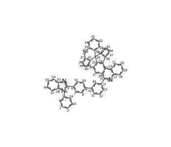 c1ccc(-n2c(-c3ccc(-c4cccc(-c5nc6ccccc6c6c7c(ccc56)C5(c6ccccc6Sc6ccccc65)c5ccccc5-7)c4)cc3)nc3ccccc32)cc1